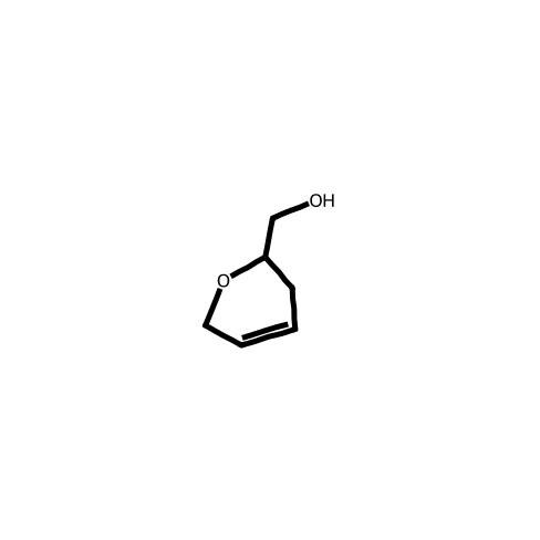 OCC1CC=CCO1